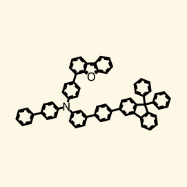 c1ccc(-c2ccc(N(c3ccc(-c4cccc5c4oc4ccccc45)cc3)c3cccc(-c4ccc(-c5ccc6c(c5)-c5ccccc5C6(c5ccccc5)c5ccccc5)cc4)c3)cc2)cc1